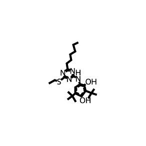 CCCCCCc1nc(Nc2cc(C(C)(C)C)c(O)c(C(C)(C)C)c2O)nc(SCC)n1